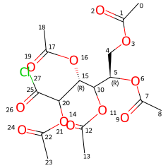 CC(=O)OC[C@@H](OC(C)=O)C(OC(C)=O)[C@@H](OC(C)=O)C(OC(C)=O)C(=O)Cl